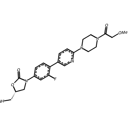 COCC(=O)N1CCN(c2ccc(-c3ccc(N4C[C@H](CNC(C)=O)OC4=O)cc3F)cn2)CC1